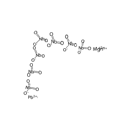 [In+3].[Mg+2].[O]=[Nb](=[O])[O-].[O]=[Nb](=[O])[O-].[O]=[Nb](=[O])[O-].[O]=[Nb](=[O])[O-].[O]=[Nb](=[O])[O-].[O]=[Nb](=[O])[O-].[O]=[Nb](=[O])[O-].[Pb+2]